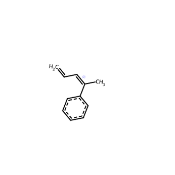 C=C/C=C(/C)c1ccccc1